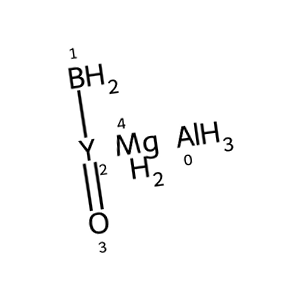 [AlH3].[BH2][Y]=[O].[MgH2]